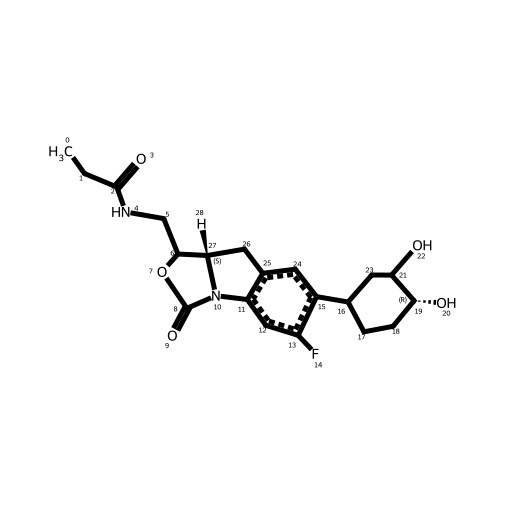 CCC(=O)NCC1OC(=O)N2c3cc(F)c(C4CC[C@@H](O)C(O)C4)cc3C[C@@H]12